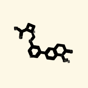 CCC(=O)N1CC[C@H]1COc1cncc(-c2ccc3c(c2)CCC(=O)N3C)c1